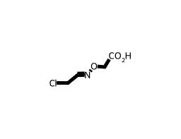 O=C(O)CON=CCCl